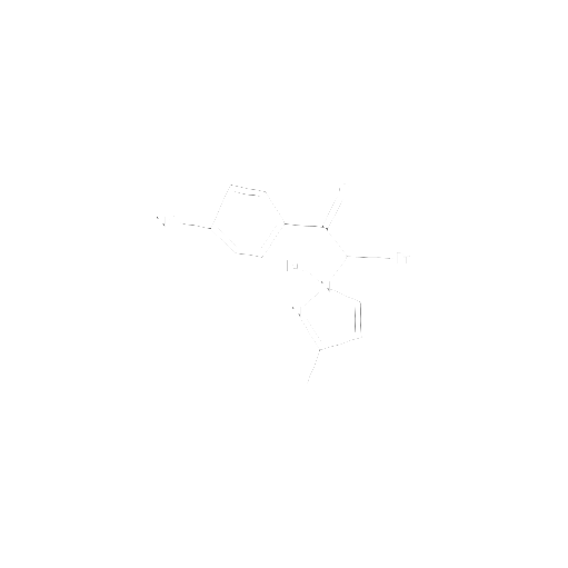 CC1=N[N+](C(C(=O)c2ccc(C#N)cc2)C(C)C)(C(C)(C)C)C=C1